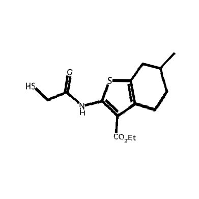 CCOC(=O)c1c(NC(=O)CS)sc2c1CCC(C)C2